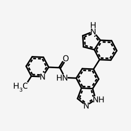 Cc1cccc(C(=O)Nc2cc(-c3cccc4[nH]ccc34)cc3[nH]ncc23)n1